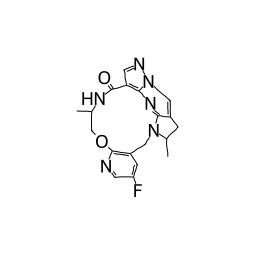 CC1COc2ncc(F)cc2CN2c3nc4c(cnn4cc3CC2C)C(=O)N1